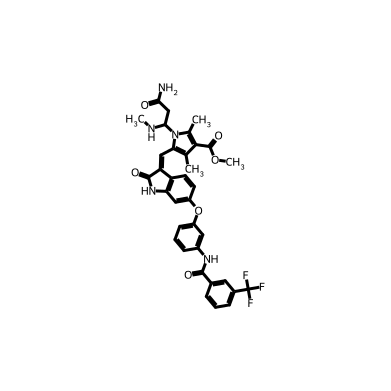 CNC(CC(N)=O)n1c(C)c(C(=O)OC)c(C)c1C=C1C(=O)Nc2cc(Oc3cccc(NC(=O)c4cccc(C(F)(F)F)c4)c3)ccc21